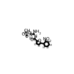 CS(=O)(=O)ONC(N)=NC(=O)c1ccc(-c2ccccc2[N+](=O)[O-])o1